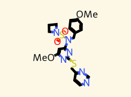 COc1ccc(CN(c2cc(OC)nc(SCc3ccncn3)n2)S(=O)(=O)N2CCC2)cc1